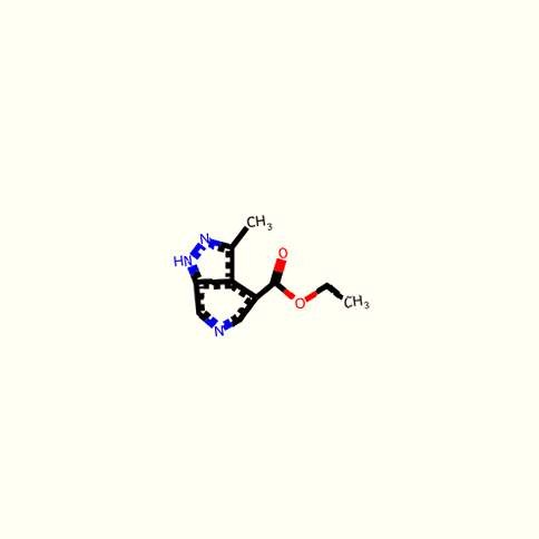 CCOC(=O)c1cncc2[nH]nc(C)c12